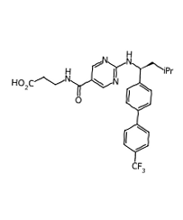 CC(C)C[C@H](Nc1ncc(C(=O)NCCC(=O)O)cn1)c1ccc(-c2ccc(C(F)(F)F)cc2)cc1